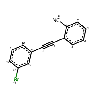 N#Cc1ccccc1C#Cc1cccc(Br)c1